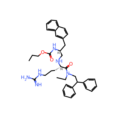 CCCOC(=O)N[C@H](CN[C@@H](CCCNC(=N)N)C(=O)N(CC)CC(c1ccccc1)c1ccccc1)Cc1ccc2ccccc2c1